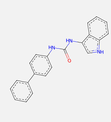 O=C(Nc1ccc(-c2ccccc2)cc1)Nc1c[nH]c2ccccc12